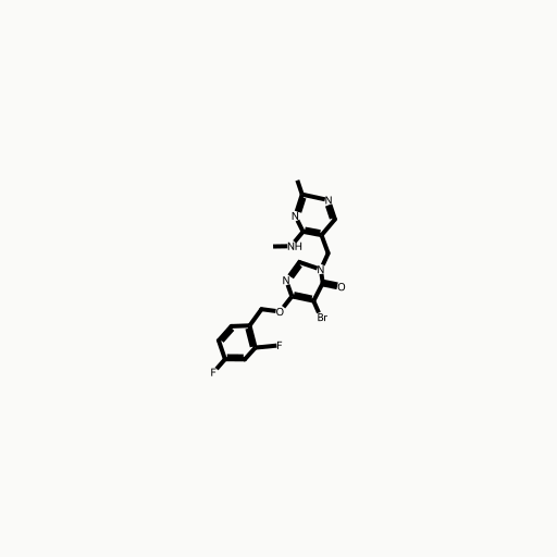 CNc1nc(C)ncc1Cn1cnc(OCc2ccc(F)cc2F)c(Br)c1=O